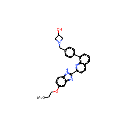 COCCOc1ccc2[nH]c(-c3ccc4cccc(-c5ccc(CN6CC(O)C6)cc5)c4n3)nc2c1